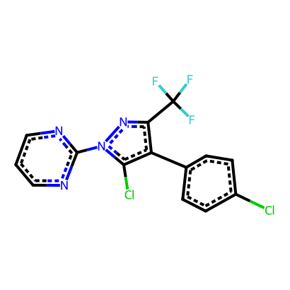 FC(F)(F)c1nn(-c2ncccn2)c(Cl)c1-c1ccc(Cl)cc1